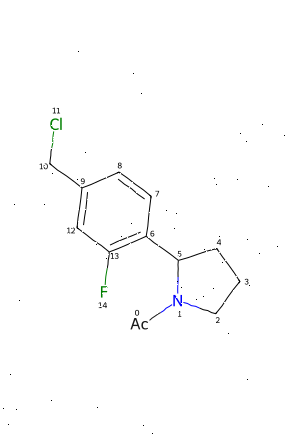 CC(=O)N1CCCC1c1ccc(CCl)cc1F